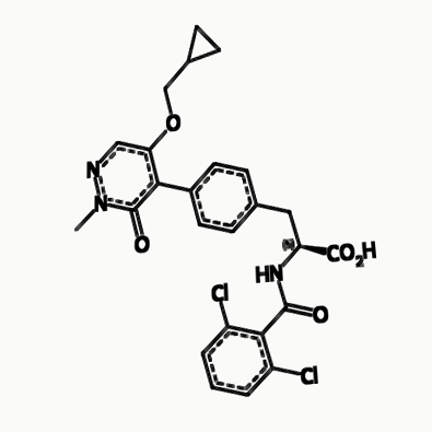 Cn1ncc(OCC2CC2)c(-c2ccc(C[C@H](NC(=O)c3c(Cl)cccc3Cl)C(=O)O)cc2)c1=O